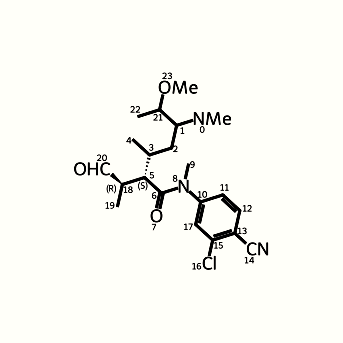 CNC(CC(C)[C@H](C(=O)N(C)c1ccc(C#N)c(Cl)c1)[C@@H](C)C=O)C(C)OC